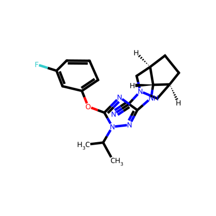 CC(C)n1nc(N[C@@H]2[C@@H]3CC[C@H]2CN(C#N)C3)nc1Oc1cccc(F)c1